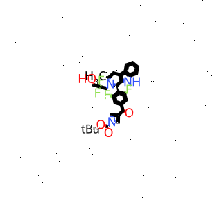 C[C@H]1Cc2c([nH]c3ccccc23)[C@@H](c2c(F)cc(C(=O)C3CN(C(=O)OC(C)(C)C)C3)cc2F)N1CC(F)(F)CO